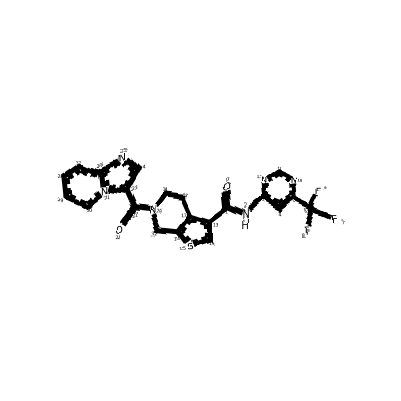 O=C(Nc1cc(C(F)(F)F)ncn1)c1csc2c1CCN(C(=O)c1cnc3ccccn13)C2